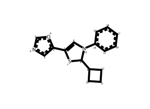 [C]1=C(c2cnco2)SC(C2CCC2)N1c1ccccc1